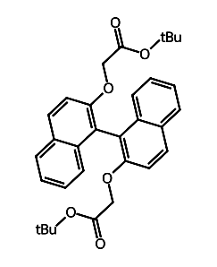 CC(C)(C)OC(=O)COc1ccc2ccccc2c1-c1c(OCC(=O)OC(C)(C)C)ccc2ccccc12